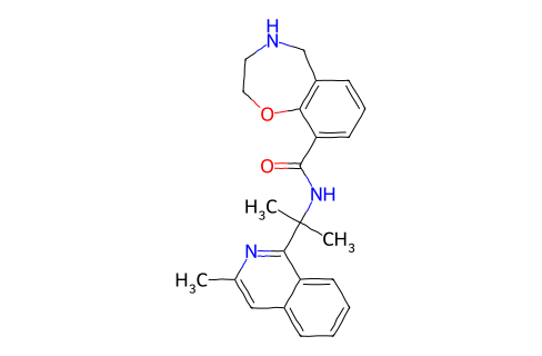 Cc1cc2ccccc2c(C(C)(C)NC(=O)c2cccc3c2OCCNC3)n1